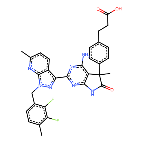 Cc1ccc2c(-c3nc(N)c4c(n3)NC(=O)C4(C)c3ccc(CCC(=O)O)cc3)nn(Cc3ccc(C)c(F)c3F)c2n1